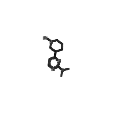 CC(C)N1CCCC(c2ccnc(N(C)C)n2)C1